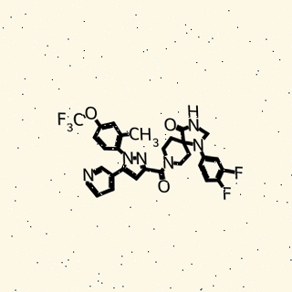 Cc1cc(OC(F)(F)F)ccc1-n1nc(C(=O)N2CCC3(CC2)C(=O)NCN3c2ccc(F)c(F)c2)cc1-c1cccnc1